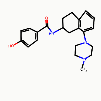 CN1CCN(c2cccc3c2CC(NC(=O)c2ccc(O)cc2)CC3)CC1